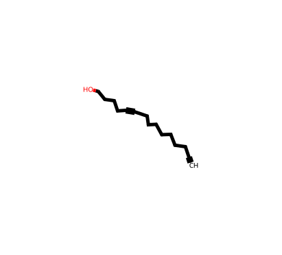 C#CCCCCCCCC#CCCCCO